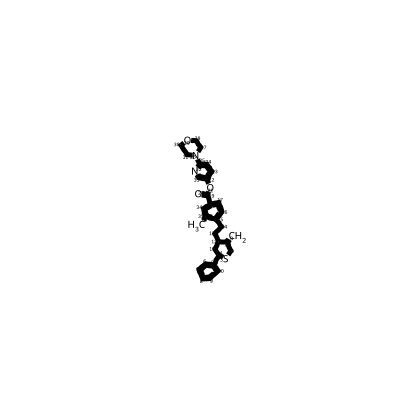 C=C1CSC(c2ccccc2)CC1CCc1ccc(C(=O)Oc2ccc(N3CCOCC3)nc2)cc1C